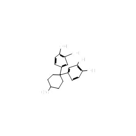 Cc1cc(C2(c3ccc(O)c(C)c3)CCC(C(C)(C)C)CC2)ccc1O